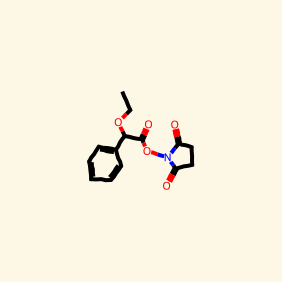 CCOC(C(=O)ON1C(=O)CCC1=O)c1ccccc1